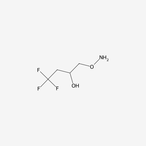 NOCC(O)CC(F)(F)F